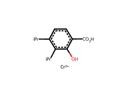 CC(C)c1ccc(C(=O)O)c(O)c1C(C)C.[Cr+3]